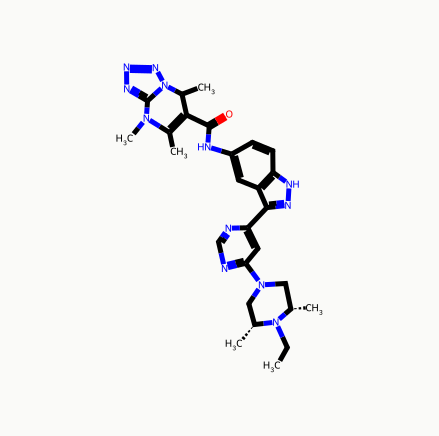 CCN1[C@H](C)CN(c2cc(-c3n[nH]c4ccc(NC(=O)C5=C(C)N(C)c6nnnn6C5C)cc34)ncn2)C[C@@H]1C